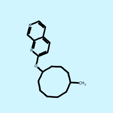 CC1CCCCCC(Oc2ccc3ccncc3n2)CCC1